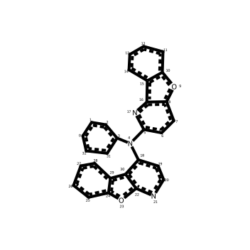 c1ccc(N(c2ccc3oc4ccccc4c3n2)c2ccnc3oc4ccccc4c23)cc1